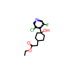 CCOC(=O)CC1CCC(O)(c2c(F)cncc2Cl)CC1